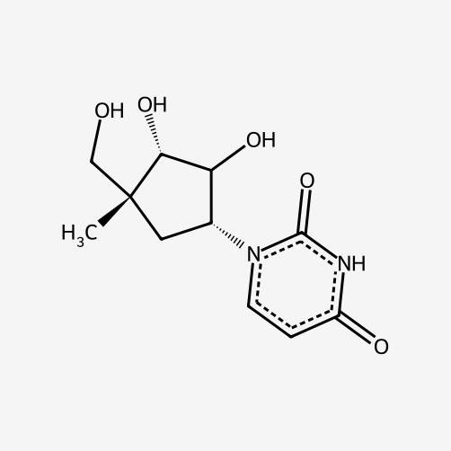 C[C@]1(CO)C[C@@H](n2ccc(=O)[nH]c2=O)C(O)[C@H]1O